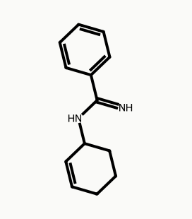 N=C(NC1C=CCCC1)c1ccccc1